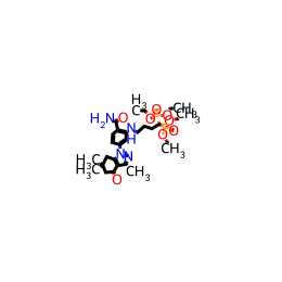 CCOP(=O)(OCC)C(CCCNc1cc(-n2nc(C)c3c2CC(C)(C)CC3=O)ccc1C(N)=O)P(=O)(OCC)OCC